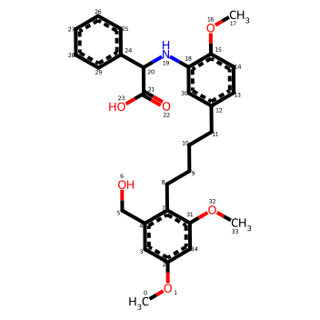 COc1cc(CO)c(CCCCc2ccc(OC)c(NC(C(=O)O)c3ccccc3)c2)c(OC)c1